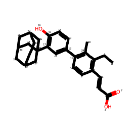 CCc1c(C=CC(=O)O)ccc(-c2ccc(O)c(C34CC5CC(CC(C5)C3)C4)c2)c1C